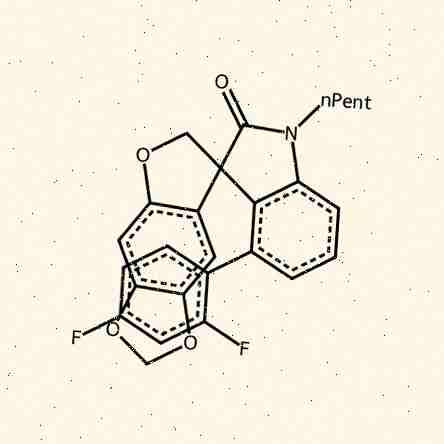 CCCCCN1C(=O)C2(COc3cc4c(cc32)OCO4)c2c(-c3ccc(F)cc3F)cccc21